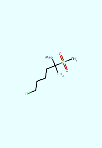 CSC(C)(CCCCCl)S(C)(=O)=O